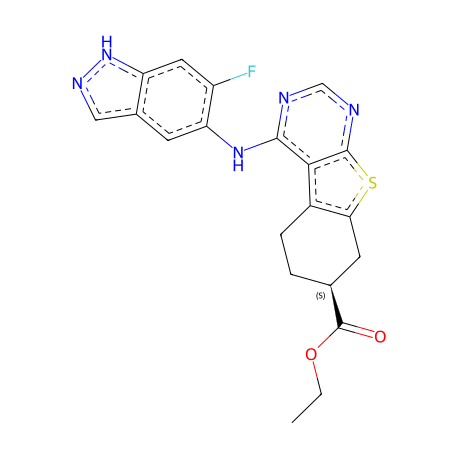 CCOC(=O)[C@H]1CCc2c(sc3ncnc(Nc4cc5cn[nH]c5cc4F)c23)C1